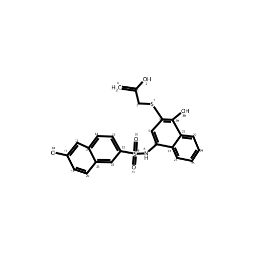 C=C(O)CSc1cc(NS(=O)(=O)c2ccc3cc(Cl)ccc3c2)c2ccccc2c1O